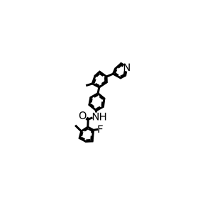 Cc1ccc(-c2ccncc2)cc1-c1ccc(NC(=O)c2c(C)cccc2F)cc1